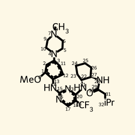 COc1cc(N2CCN(C)CC2)ccc1Nc1ncc(C(F)(F)F)c(N[C@@H]2CCCC[C@H]2NC(=O)CC(C)C)n1